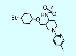 CCC1CCC(OCC2CN(c3ccc(C)cn3)CCC2NS(C)(=O)=O)CC1